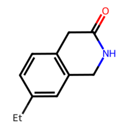 CCc1ccc2c(c1)CNC(=O)C2